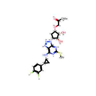 CCCSc1nc(N[C@@H]2C[C@H]2c2ccc(F)c(F)c2)c2nnn([C@@H]3C[C@H](OCC(=O)OC)[C@H](O)[C@H]3O)c2n1